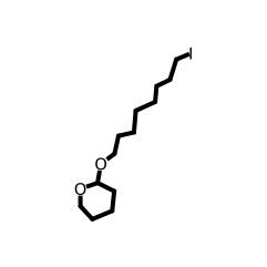 ICCCCCCCCOC1CCCCO1